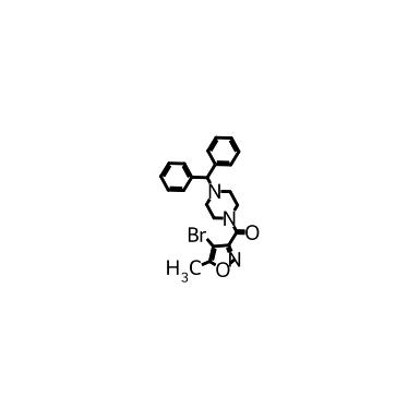 Cc1onc(C(=O)N2CCN(C(c3ccccc3)c3ccccc3)CC2)c1Br